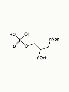 CCCCCCCCCCC(CCCCCCCC)COP(=O)(O)O